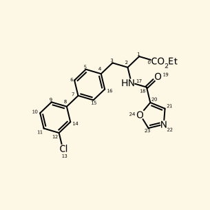 CCOC(=O)CC(Cc1ccc(-c2cccc(Cl)c2)cc1)NC(=O)c1cnco1